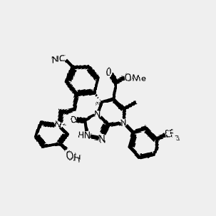 COC(=O)C1=C(C)N(c2cccc(C(F)(F)F)c2)c2n[nH]c(=O)n2[C@@H]1c1ccc(C#N)cc1CC[n+]1cccc(O)c1